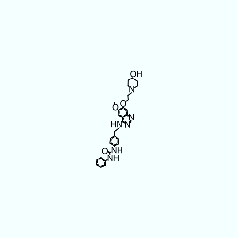 COc1cc2c(NCCc3ccc(NC(=O)Nc4ccccc4)cc3)ncnc2cc1OCCCN1CCC(O)CC1